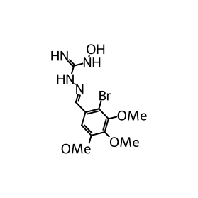 COc1cc(/C=N/NC(=N)NO)c(Br)c(OC)c1OC